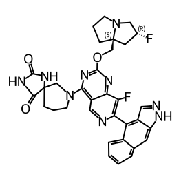 O=C1NC(=O)C2(CCCN(c3nc(OC[C@@]45CCCN4C[C@H](F)C5)nc4c(F)c(-c5c6ccccc6cc6[nH]ncc56)ncc34)C2)N1